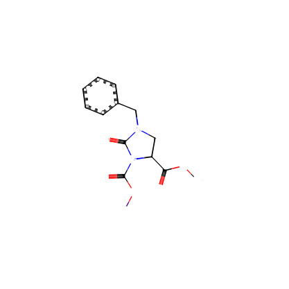 CC(C)(C)OC(=O)C1CN(Cc2ccccc2)C(=O)N1C(=O)OI